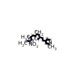 C=C/C(=C\C(=C)C=CC(=C)/C=C(\C=C)[N+](=O)[O-])CCc1ccnc(C)c1